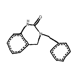 O=C1Nc2ccccc2CN1Cc1ccccc1